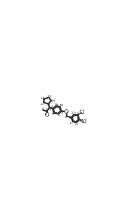 CC(=O)C(c1ccc(OCc2ccc(Cl)c(Cl)c2)cc1)C1CCCC1